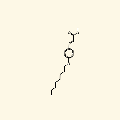 CCCCCCCCOc1ccc(/C=C/C(=O)OC)cc1